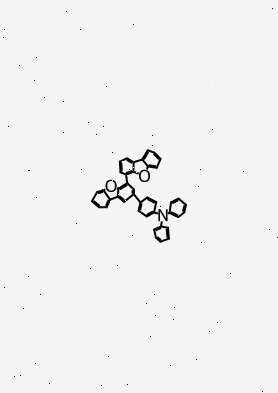 c1ccc(N(c2ccccc2)c2ccc(-c3cc(-c4cccc5c4oc4ccccc45)c4oc5ccccc5c4c3)cc2)cc1